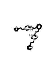 c1csc(CCN2CN=C(SCc3ccccc3CSC3=NCN(CCc4cccs4)CN3)NC2)c1